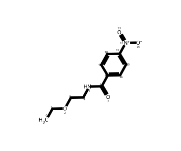 CCOCCNC(=O)c1ccc([N+](=O)[O-])cc1